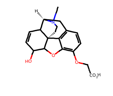 CN1CC[C@]23c4c5ccc(OCC(=O)O)c4OC2C(O)C=CC3[C@H]1C5